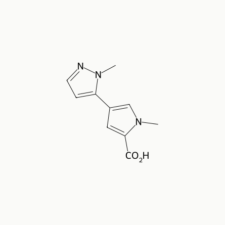 Cn1cc(-c2ccnn2C)cc1C(=O)O